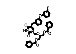 O=C(OCC(COC(=O)c1ccccc1)OCn1cc(Cc2cccc(Oc3cccc(F)c3)c2)c(=O)[nH]c1=O)c1ccccc1